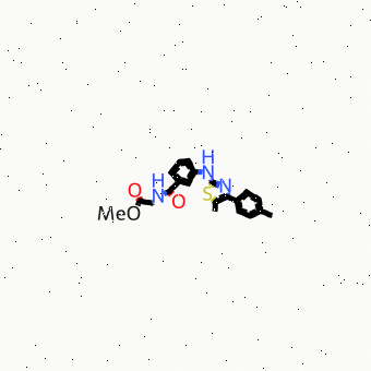 COC(=O)CNC(=O)c1cccc(Nc2nc(-c3ccc(C)cc3)c(C)s2)c1